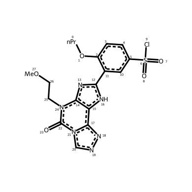 CCCOc1ccc(S(=O)(=O)Cl)cc1-c1nc2c([nH]1)c1nncn1c(=O)n2CCOC